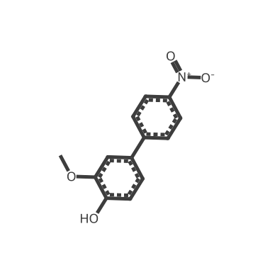 COc1cc(-c2ccc([N+](=O)[O-])cc2)ccc1O